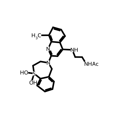 CC(=O)NCCNc1cc(N2CCS(O)(O)c3ccccc3C2)nc2c(C)cccc12